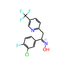 O/N=C(/Cc1ccc(C(F)(F)F)cn1)c1ccc(F)c(Cl)c1